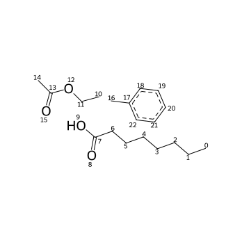 CCCCCCCC(=O)O.CCOC(C)=O.Cc1ccccc1